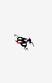 Cc1cc2p[si](-c3ccc(C)s3)c3cc(C)cc4oc(=O)c(c1)c2c43